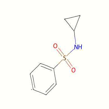 O=S(=O)(NC1CC1)c1cc[c]cc1